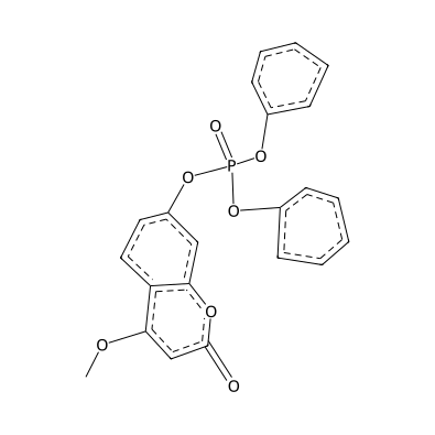 COc1cc(=O)oc2cc(OP(=O)(Oc3ccccc3)Oc3ccccc3)ccc12